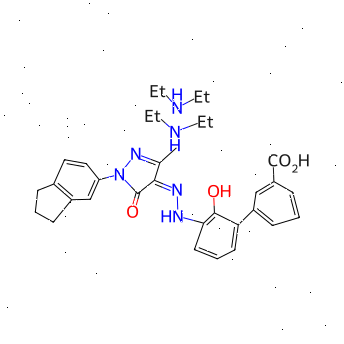 CC1=NN(c2ccc3c(c2)CCC3)C(=O)/C1=N\Nc1cccc(-c2cccc(C(=O)O)c2)c1O.CCNCC.CCNCC